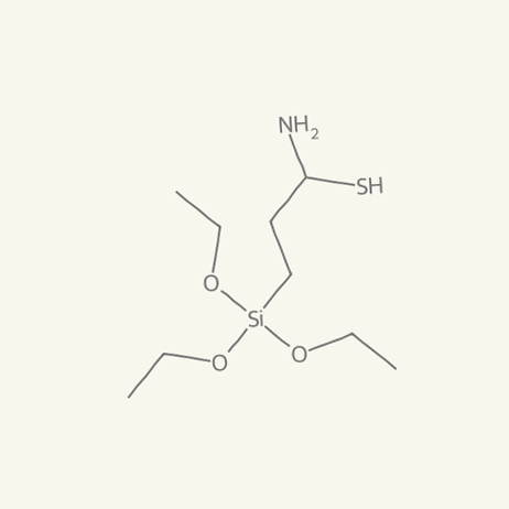 CCO[Si](CCC(N)S)(OCC)OCC